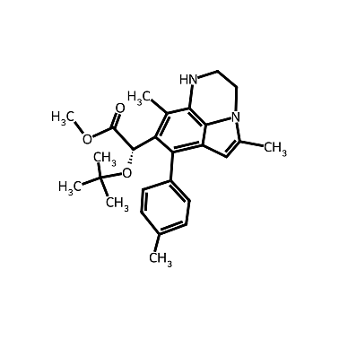 COC(=O)[C@@H](OC(C)(C)C)c1c(C)c2c3c(cc(C)n3CCN2)c1-c1ccc(C)cc1